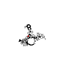 CC(C)(C)NC(=O)OC1CCCCCC=C[C@@H]2C[C@@]2(C(=O)NS(=O)(=O)C2CC2)NC(=O)[C@@H]2C[C@@H](OC(=O)N3Cc4cccc(F)c4C3)CN2C1=O